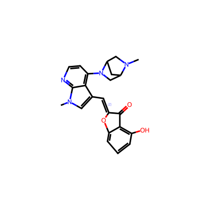 CN1CC2CC1CN2c1ccnc2c1c(/C=C1\Oc3cccc(O)c3C1=O)cn2C